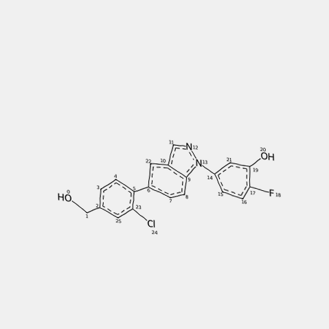 OCc1ccc(-c2ccc3c(cnn3-c3ccc(F)c(O)c3)c2)c(Cl)c1